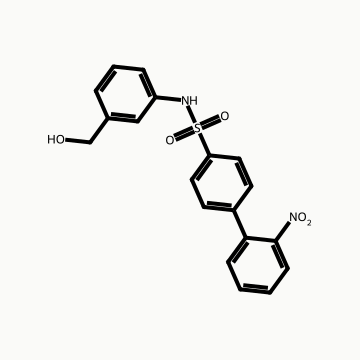 O=[N+]([O-])c1ccccc1-c1ccc(S(=O)(=O)Nc2cccc(CO)c2)cc1